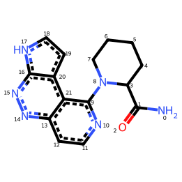 NC(=O)C1[CH]CCCN1c1nccc2nnc3[nH]ccc3c12